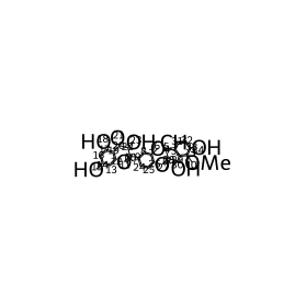 COc1cc(C2(C)Oc3cc([C@H]4Oc5cc(O)cc(O)c5C(=O)C4O)ccc3O[C@@H]2CO)ccc1O